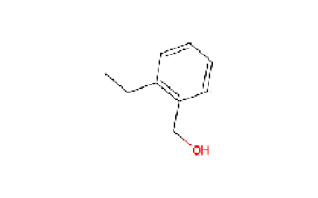 CCc1ccc[c]c1CO